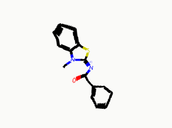 Cn1/c(=N\C(=O)c2ccccc2)sc2ccccc21